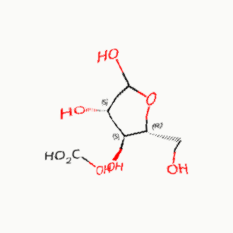 O=C(O)O.OC[C@H]1OC(O)[C@@H](O)[C@@H]1O